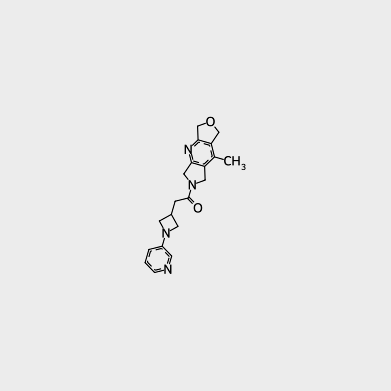 Cc1c2c(nc3c1CN(C(=O)CC1CN(c4cccnc4)C1)C3)COC2